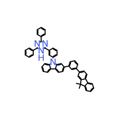 CC1(C)c2ccccc2-c2ccc(-c3cccc(-c4ccc5c6ccccc6n(-c6cccc(C7=NC(c8ccccc8)=NC(c8ccccc8)N7)c6)c5c4)c3)cc21